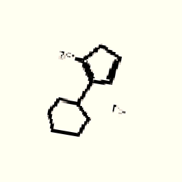 [F-].[F-].[Zr+2][C]1=C(C2CCCCC2)C=CC1